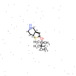 CC(C)(C)[Si](C)(C)OC1C=C2CNCCC2S1